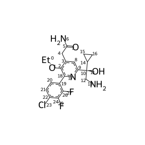 CCOc1c(CC(N)=O)cc([C@@](O)(CN)C2CC2)nc1-c1ccc(Cl)c(F)c1F